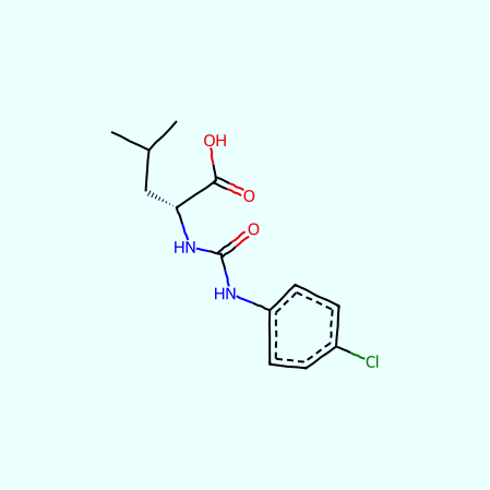 CC(C)C[C@@H](NC(=O)Nc1ccc(Cl)cc1)C(=O)O